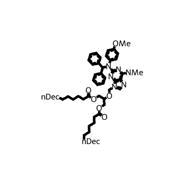 CCCCCCCCCCCCCCCC(=O)OCC(COC(=O)CCCCCCCCCCCCCCC)OCn1cnc2c(NC)nc(N(c3ccc(OC)cc3)C(c3ccccc3)c3ccccc3)nc21